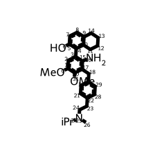 COc1cc(-c2c(O)ccc3c2CCCC3)c(N)c(Cc2ccc(CCN(C)C(C)C)cc2)c1OC